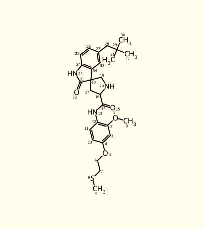 COc1cc(OCCSC)ccc1NC(=O)C1CC2(CN1)C(=O)Nc1ccc(CC(C)(C)C)cc12